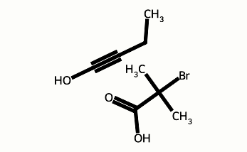 CC(C)(Br)C(=O)O.CCC#CO